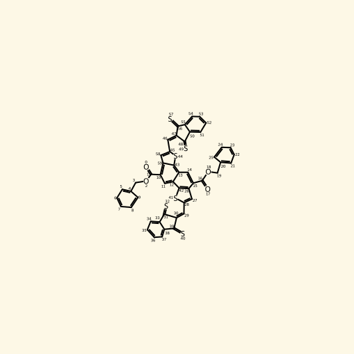 O=C(OCc1ccccc1)c1cc2c(cc(C(=O)OCc3ccccc3)c3cc(C=C4C(=S)c5ccccc5C4=S)sc32)c2sc(C=C3C(=S)c4ccccc4C3=S)cc12